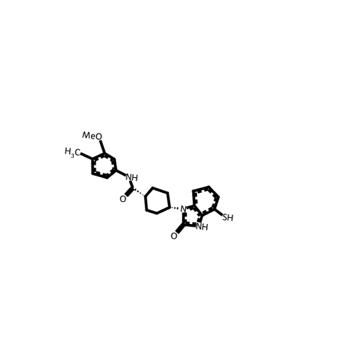 COc1cc(NC(=O)[C@H]2CC[C@@H](n3c(=O)[nH]c4c(S)cccc43)CC2)ccc1C